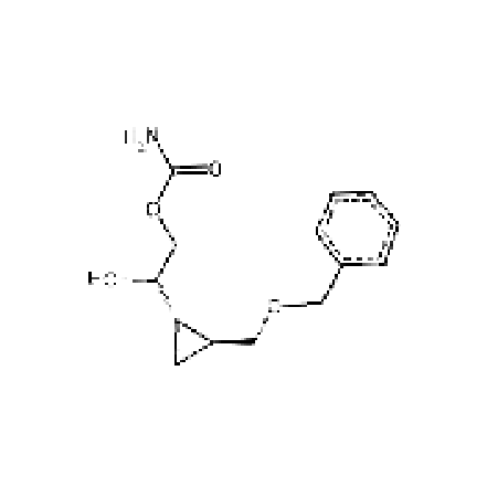 NC(=O)OCC(O)[C@H]1C[C@@H]1COCc1ccccc1